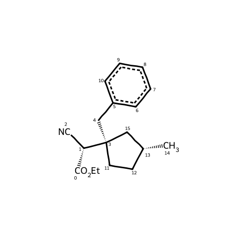 CCOC(=O)[C@H](C#N)[C@]1(Cc2ccccc2)CC[C@@H](C)C1